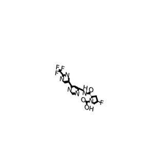 O=C(NCc1cc(-c2cnc(C(F)(F)F)nc2)ncn1)[C@@H]1C[C@@H](F)CN1C(=O)O